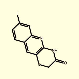 O=C1CSc2cc3ccc(I)cc3nc2N1